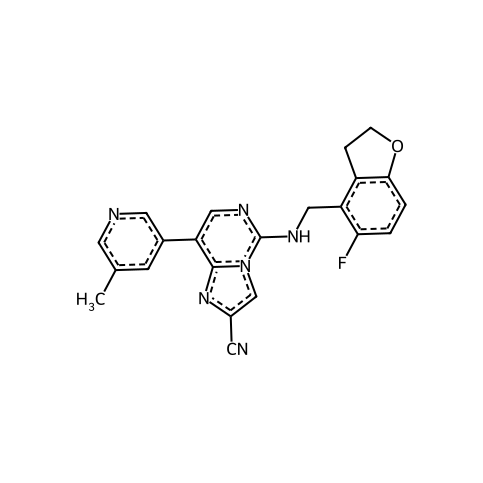 Cc1cncc(-c2cnc(NCc3c(F)ccc4c3CCO4)n3cc(C#N)nc23)c1